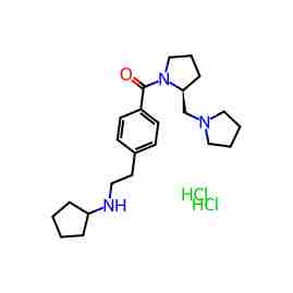 Cl.Cl.O=C(c1ccc(CCNC2CCCC2)cc1)N1CCC[C@H]1CN1CCCC1